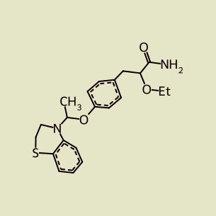 CCOC(Cc1ccc(OC(C)N2CCSc3ccccc32)cc1)C(N)=O